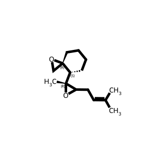 CC(C)=CCC1O[C@]1(C)[C@H]1CCCC[C@]12CO2